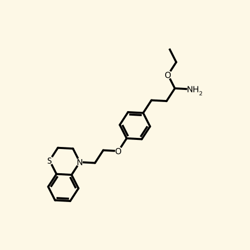 CCOC(N)CCc1ccc(OCCN2CCSc3ccccc32)cc1